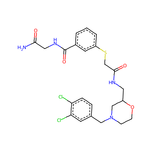 NC(=O)CNC(=O)c1cccc(SCC(=O)NCC2CN(Cc3ccc(Cl)c(Cl)c3)CCO2)c1